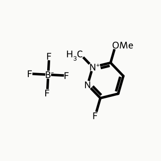 COc1ccc(F)n[n+]1C.F[B-](F)(F)F